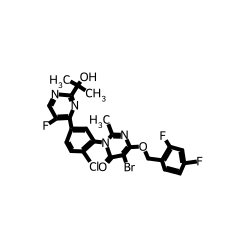 Cc1nc(OCc2ccc(F)cc2F)c(Br)c(=O)n1-c1cc(-c2nc(C(C)(C)O)ncc2F)ccc1Cl